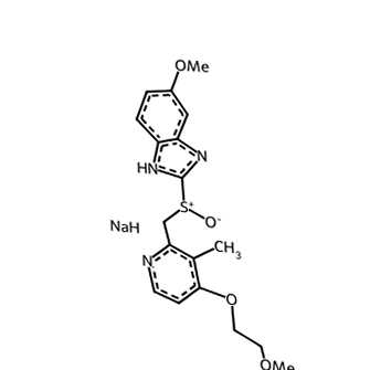 COCCOc1ccnc(C[S+]([O-])c2nc3cc(OC)ccc3[nH]2)c1C.[NaH]